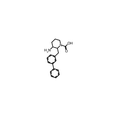 NC1CCCN(C(=O)O)C1Cc1cccc(-c2ccccc2)c1